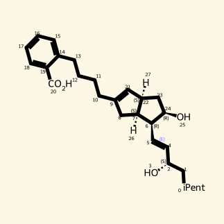 CCCC(C)C[C@H](O)/C=C/[C@H]1[C@H]2CC(CCCCc3ccccc3C(=O)O)=C[C@H]2C[C@H]1O